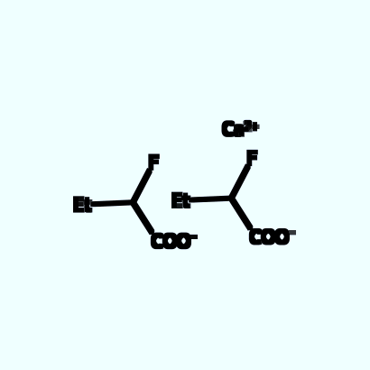 CCC(F)C(=O)[O-].CCC(F)C(=O)[O-].[Ca+2]